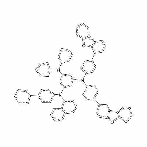 C1=C(c2ccc3oc4ccccc4c3c2)CCC(N(c2ccc(-c3cccc4c3oc3ccccc34)cc2)c2cc(N(c3ccccc3)c3ccccc3)cc(N(c3ccc(-c4ccccc4)cc3)c3cccc4ccccc34)c2)=C1